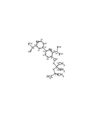 C=C(C)C[C@@](C)(N)COc1ccc(-c2ccnc(C(F)F)c2)nc1C(F)F